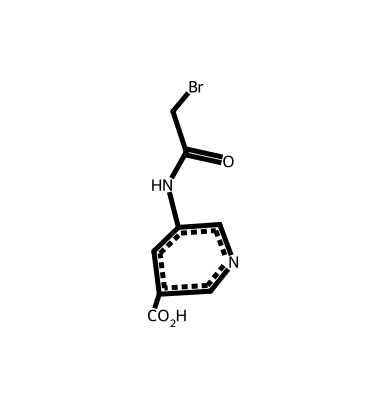 O=C(CBr)Nc1cncc(C(=O)O)c1